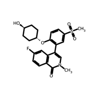 Cn1cc(-c2cc(S(C)(=O)=O)ccc2O[C@H]2CC[C@H](O)CC2)c2cc(F)ccc2c1=O